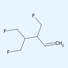 C=CC(CF)C(CF)CF